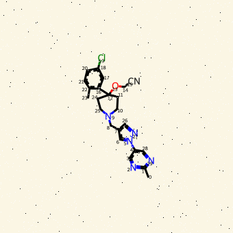 Cc1ncc(-n2cc(CN3CCC(OCC#N)(c4cc(Cl)ccc4C)CC3)cn2)cn1